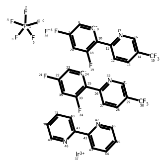 FP(F)(F)(F)F.Fc1c[c-]c(-c2ccc(C(F)(F)F)cn2)c(F)c1.Fc1c[c-]c(-c2ccc(C(F)(F)F)cn2)c(F)c1.[F-].[Ir+3].c1ccc(-c2ccccn2)nc1